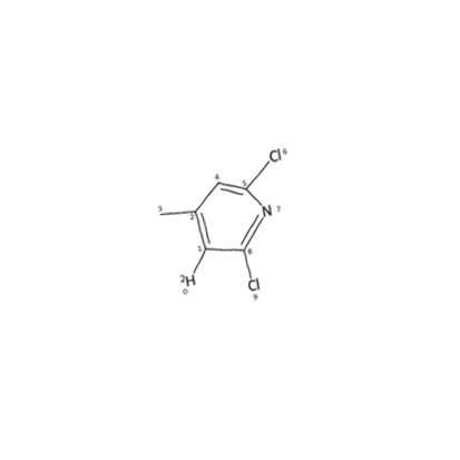 [2H]c1c(C)cc(Cl)nc1Cl